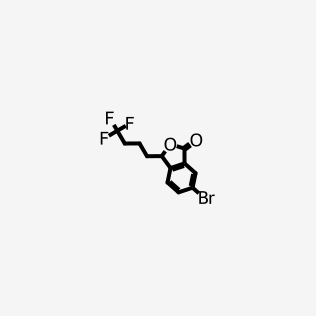 O=C1OC(CCCC(F)(F)F)c2ccc(Br)cc21